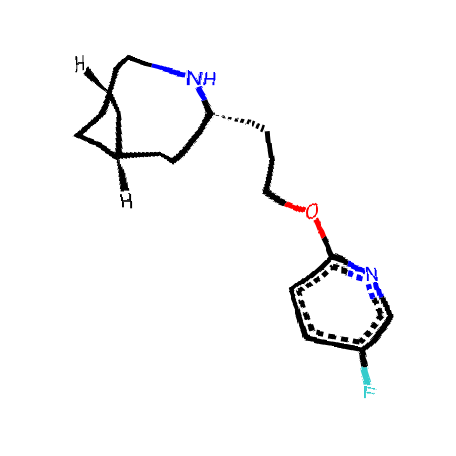 Fc1ccc(OCC[C@@H]2C[C@@H]3C[C@@H]3CN2)nc1